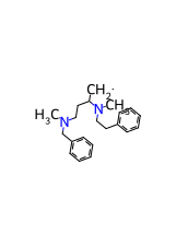 [CH2]C(CCN(C)Cc1ccccc1)N(C)CCc1ccccc1